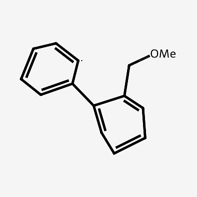 COCc1ccccc1-c1[c]cccc1